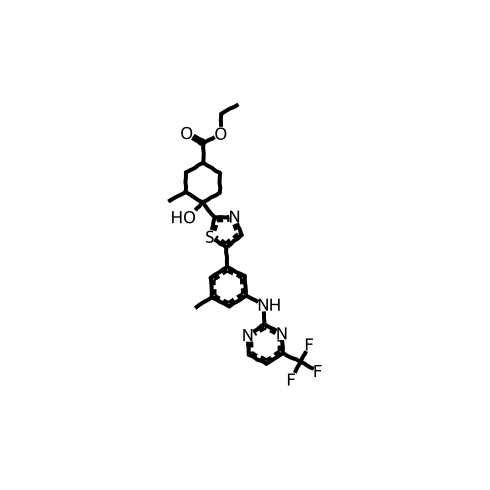 CCOC(=O)C1CCC(O)(c2ncc(-c3cc(C)cc(Nc4nccc(C(F)(F)F)n4)c3)s2)C(C)C1